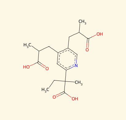 CCC(C)(C(=O)O)c1cc(CC(C)C(=O)O)c(CC(C)C(=O)O)cn1